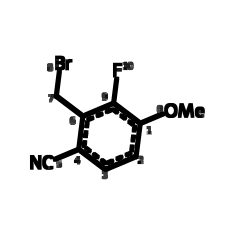 COc1ccc(C#N)c(CBr)c1F